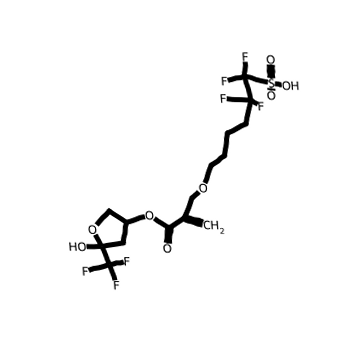 C=C(COCCCCC(F)(F)C(F)(F)S(=O)(=O)O)C(=O)OC1COC(O)(C(F)(F)F)C1